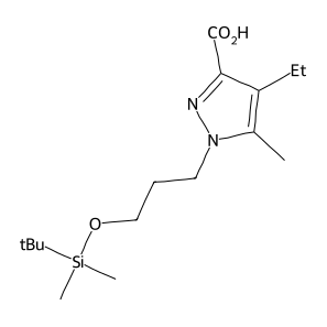 CCc1c(C(=O)O)nn(CCCO[Si](C)(C)C(C)(C)C)c1C